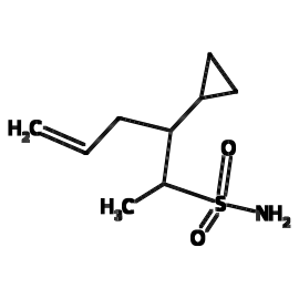 C=CCC(C1CC1)C(C)S(N)(=O)=O